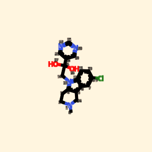 CN1CCc2c(c3cc(Cl)ccc3n2CC(O)(O)c2cncnc2)C1